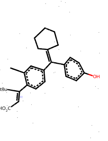 Cc1cc(C(=C2CCCCC2)c2ccc(O)cc2)ccc1/C(=C/C(=O)O)C(C)(C)C